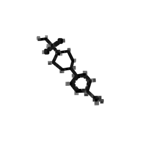 CCS(=O)(=O)N1CCC(c2ccc(N)cc2)CC1